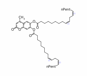 CCCCC/C=C\C/C=C\CCCCCCCC(=O)Oc1cc2oc(=O)cc(C)c2cc1OC(=O)CCCCCCC/C=C\C/C=C\CCCCC